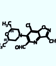 Cc1noc2c(Cl)c(N3C[C@@H](C)O[C@@H](C)C3)c(C=O)nc12